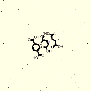 O=C(O)/C=C\C(=O)O.O=C(O)CCC(=O)O.O=C(O)c1ccc(C(=O)O)cc1